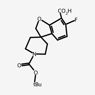 CC(C)(C)OC(=O)N1CCC2(CC1)COc1c2ccc(F)c1C(=O)O